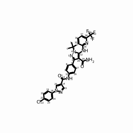 CC(C)(C)n1nc(-c2ccc(NC(=O)c3cnn(-c4ccc(Cl)cc4)c3)cc2)c(C(N)=O)c1Nc1cccc(C(F)(F)F)n1